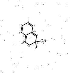 CC1(O)C=c2ccccc2=NC1